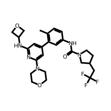 Cc1ccc(NC(=O)N2CCC(CC(F)(F)F)C2)cc1-c1cc(NC2COC2)nc(N2CCOCC2)c1